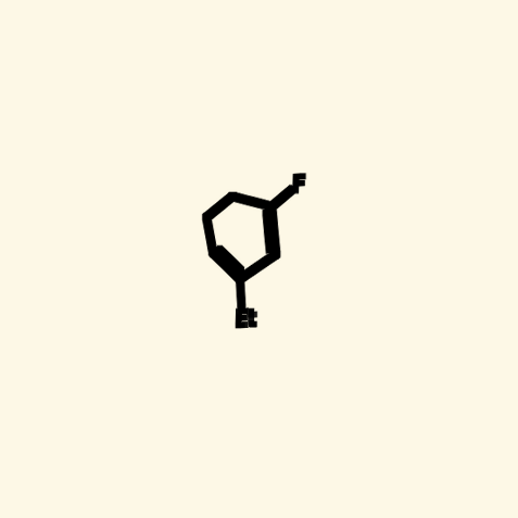 CCC1=CCCC(F)=C1